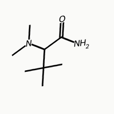 CN(C)C(C(N)=O)C(C)(C)C